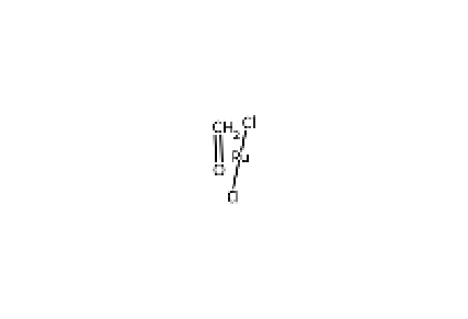 C=O.[Cl][Ru][Cl]